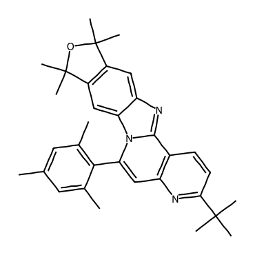 Cc1cc(C)c(-c2cc3nc(C(C)(C)C)ccc3c3nc4cc5c(cc4n23)C(C)(C)OC5(C)C)c(C)c1